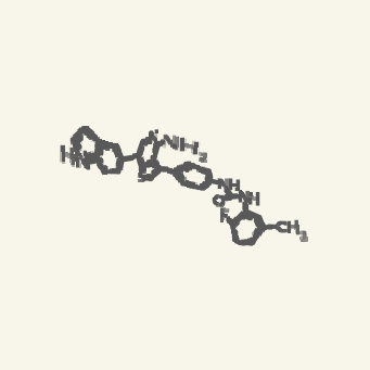 Cc1ccc(F)c(NC(=O)Nc2ccc(-c3csc4c(-c5ccc6[nH]ccc6c5)cnc(N)c34)cc2)c1